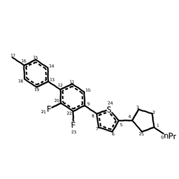 CCCC1CCC(c2ccc(-c3ccc(-c4ccc(C)cc4)c(F)c3F)s2)C1